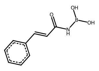 O=C(C=Cc1ccccc1)NB(O)O